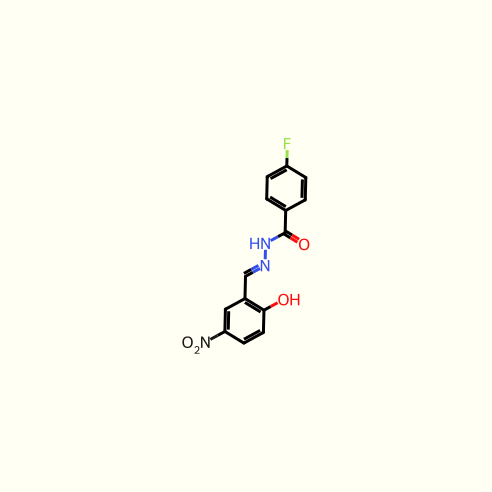 O=C(N/N=C/c1cc([N+](=O)[O-])ccc1O)c1ccc(F)cc1